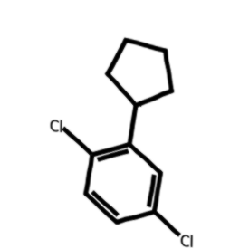 Clc1ccc(Cl)c([C]2CCCC2)c1